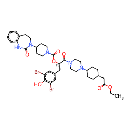 CCOC(=O)C[C@H]1CC[C@@H](N2CCN(C(=O)[C@@H](Cc3cc(Br)c(O)c(Br)c3)OC(=O)N3CCC(N4CCc5ccccc5NC4=O)CC3)CC2)CC1